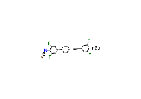 CCCCc1c(F)cc(C#Cc2ccc(-c3cc(F)c(N=C=S)c(F)c3)cc2)cc1F